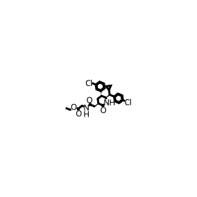 CCOC(=O)CNC(=O)C[C@H]1C[C@H](c2cccc(Cl)c2)[C@@H](C(c2ccc(Cl)cc2)C2CC2)NC1=O